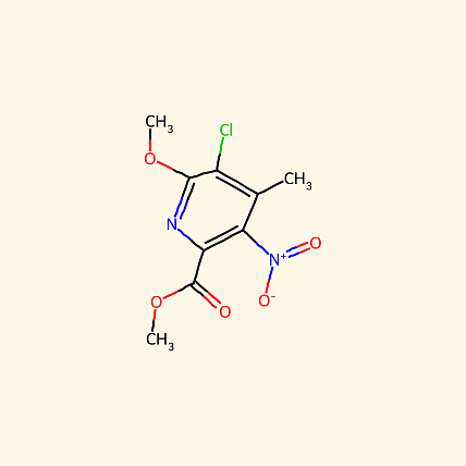 COC(=O)c1nc(OC)c(Cl)c(C)c1[N+](=O)[O-]